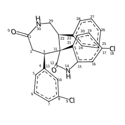 O=C1C[C@H](c2cccc(Cl)c2)[C@@]2(C(=O)Nc3cc(Cl)ccc32)[C@H](c2ccccc2)CN1